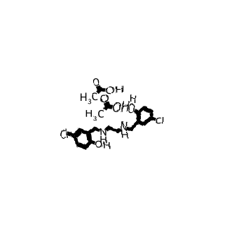 CC(=O)O.CC(=O)O.Oc1ccc(Cl)cc1CNCCNCc1cc(Cl)ccc1O